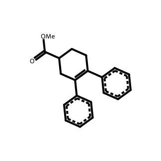 COC(=O)C1CCC(c2ccccc2)=C(c2ccccc2)C1